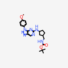 COc1ccc(-n2nnc3cnc(NC4CCC(CNC(=O)OC(C)(C)C)C4)nc32)cc1